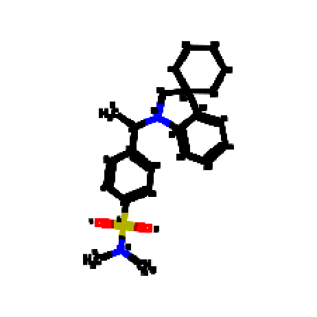 CC(c1ccc(S(=O)(=O)N(C)C)cc1)N1CC2(CCCCC2)c2ccccc21